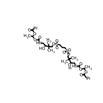 CC(OC(=O)NC[C@@H](O)C(C)(C)COS(=O)(=O)CCCS(=O)(=O)OCC(C)(C)[C@H](O)CNC(=O)OC(C)OC(=O)C(C)C)OC(=O)C(C)C